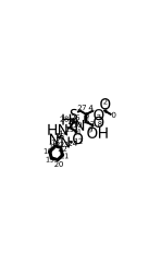 CC(=O)OCC1=C(C(=O)O)N2C(=O)C(Nc3nc4ccccc4n3C)[C@@H]2SC1